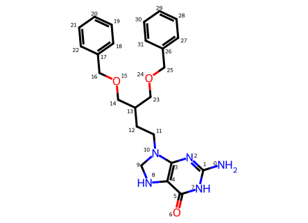 Nc1nc2c(c(=O)[nH]1)NCN2CCC(COCc1ccccc1)COCc1ccccc1